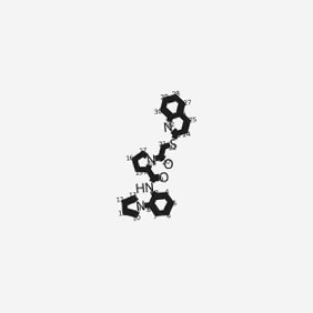 O=C(Nc1ccccc1-n1cccc1)C1CCCN1C(=O)CSc1ccc2ccccc2n1